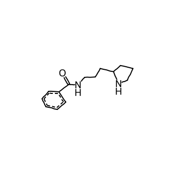 O=C(NCCCC1CCCN1)c1ccccc1